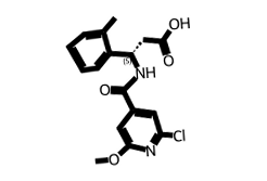 COc1cc(C(=O)N[C@@H](CC(=O)O)c2ccccc2C)cc(Cl)n1